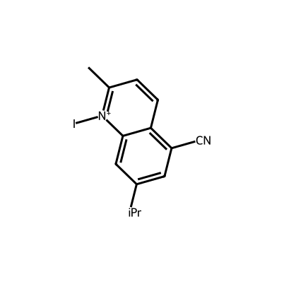 Cc1ccc2c(C#N)cc(C(C)C)cc2[n+]1I